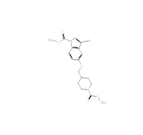 CC(C)c1cn(C(=O)OC(C)(C)C)c2ccc(OCC3CCN(C(=O)OC(C)(C)C)CC3)cc12